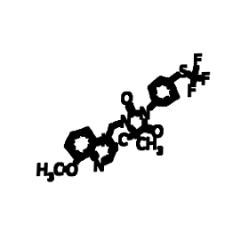 COc1cccc2c(CN3C(=O)N(c4ccc(SC(F)(F)F)cc4)C(=O)C3(C)C)ccnc12